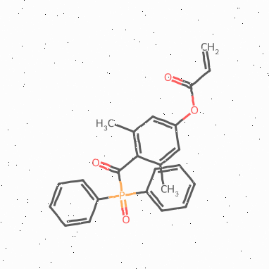 C=CC(=O)Oc1cc(C)c(C(=O)P(=O)(c2ccccc2)c2ccccc2)c(C)c1